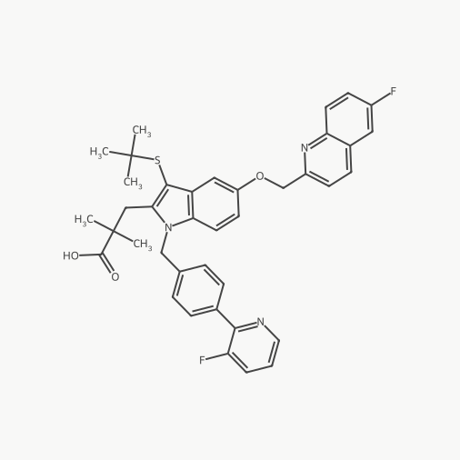 CC(C)(C)Sc1c(CC(C)(C)C(=O)O)n(Cc2ccc(-c3ncccc3F)cc2)c2ccc(OCc3ccc4cc(F)ccc4n3)cc12